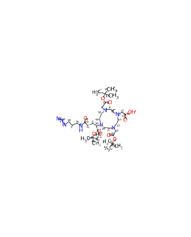 CC(C)(C)OC(=O)CN1CCN(CC(=O)O)CCN(CC(=O)OC(C)(C)C)CCN(C(CCC(=O)NCCCN=[N+]=[N-])C(=O)OC(C)(C)C)CC1